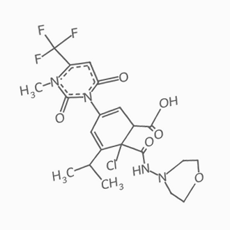 CC(C)C1=CC(n2c(=O)cc(C(F)(F)F)n(C)c2=O)=CC(C(=O)O)C1(Cl)C(=O)NN1CCOCC1